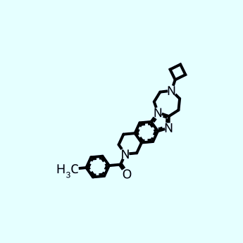 Cc1ccc(C(=O)N2CCc3cc4c(cc3C2)nc2n4CCN(C3CCC3)CC2)cc1